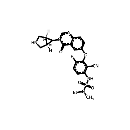 CCN(C)S(=O)(=O)Nc1ccc(F)c(Oc2ccc3ncn(C4[C@H]5CNC[C@@H]45)c(=O)c3c2)c1C#N